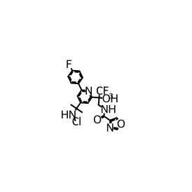 CC(C)(NCl)c1cc(-c2ccc(F)cc2)nc(C(O)(CNC(=O)c2cocn2)C(F)(F)F)c1